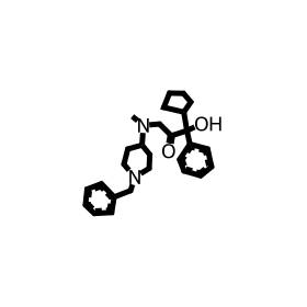 CN(CC(=O)C(O)(c1ccccc1)C1CCCC1)C1CCN(Cc2ccccc2)CC1